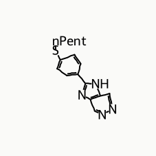 CCCCCSc1ccc(-c2nc3cnncc3[nH]2)cc1